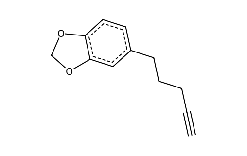 C#CCCCc1ccc2c(c1)OCO2